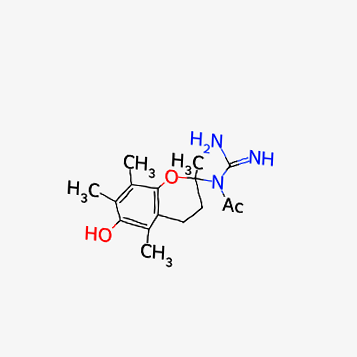 CC(=O)N(C(=N)N)C1(C)CCc2c(C)c(O)c(C)c(C)c2O1